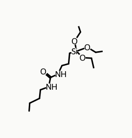 CCCCNC(=O)NCCC[Si](OCC)(OCC)OCC